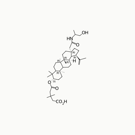 C=C(C)[C@@H]1CC[C@]2(CC(=O)NC(C)CO)CC[C@]3(C)[C@H](CCC4[C@@]5(C)CC[C@H](OC(=O)CC(C)(C)CC(=O)O)C(C)(C)C5CC[C@]43C)C12